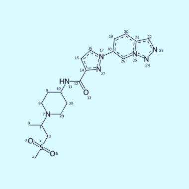 CC(CS(C)(=O)=O)N1CCC(NC(=O)c2ccn(-c3ccc4cnnn4c3)n2)CC1